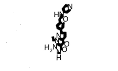 CCn1c(N)c(C(=O)NC)c(=O)c2ccc(-c3ccc(CC(=O)Nc4ccncc4)cc3)nc21